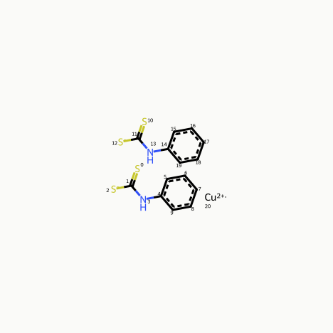 S=C([S-])Nc1ccccc1.S=C([S-])Nc1ccccc1.[Cu+2]